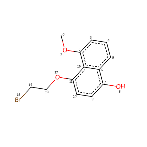 COc1cccc2c(O)ccc(OCCBr)c12